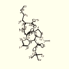 CC[C@H]1CCN[C@@H]1C(C(=O)OC(C)(C)C)N1CCC[C@H]1C(=O)N[C@@H](CCSC)C(=O)OC